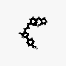 Cc1oc(-c2ccc(C(F)(F)F)cc2)nc1CCOc1ccc(CN2CSCC2C(=O)O)cc1